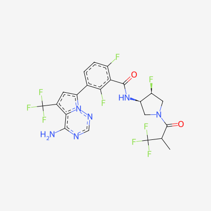 CC(C(=O)N1C[C@H](F)[C@H](NC(=O)c2c(F)ccc(-c3cc(C(F)(F)F)c4c(N)ncnn34)c2F)C1)C(F)(F)F